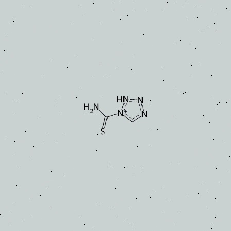 NC(=S)[n+]1cnn[nH]1